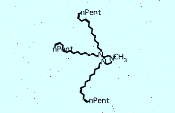 CCCCC/C=C\C/C=C\CCCCCCCCN(CCCCCCCC/C=C\C/C=C\CCCCC)C1CN(C)CCN1CCCCCCCC/C=C\C/C=C\CCCCC